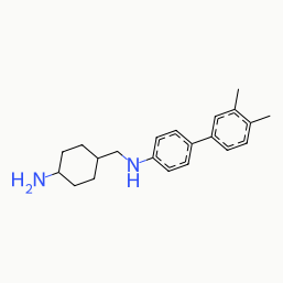 Cc1ccc(-c2ccc(NCC3CCC(N)CC3)cc2)cc1C